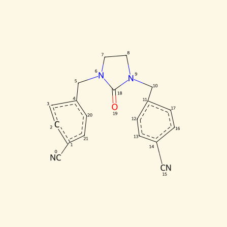 N#Cc1ccc(CN2CCN(Cc3ccc(C#N)cc3)C2=O)cc1